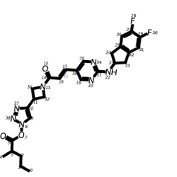 CCCC(C)C(=O)On1cc(C2CN(C(=O)/C=C/c3cnc(NC4Cc5cc(F)c(F)cc5C4)nc3)C2)nn1